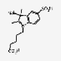 CC1=[N+](CCCCC(=O)O)c2ccc(S(=O)(=O)O)cc2C1(C)C.[NaH]